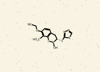 N#CCOc1ccc2c(c1C(=O)O)OB(O)[C@@H](Sc1nncs1)C2